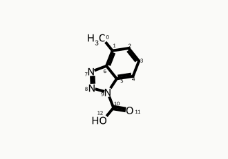 Cc1cccc2c1nnn2C(=O)O